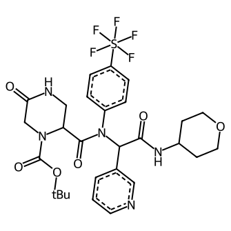 CC(C)(C)OC(=O)N1CC(=O)NCC1C(=O)N(c1ccc(S(F)(F)(F)(F)F)cc1)C(C(=O)NC1CCOCC1)c1cccnc1